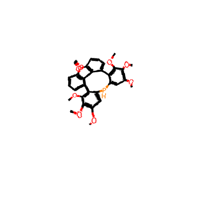 COc1cc2[pH]c3cc(OC)c(OC)c(OC)c3c3cccc(OC)c3c3c(OC)cccc3c2c(OC)c1OC